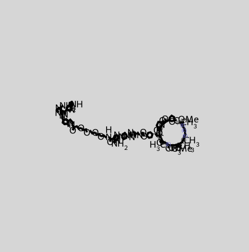 CO[C@H]1CC2CCCC(O2)C(=O)C(=O)N2CCCC[C@H]2C(=O)O[C@H](CC[C@H]2CC[C@H](OC(=O)NCc3cnc(N4CCN(c5ncc(C(=O)NCCOCCOCCOCCOCCC(=O)N6CCc7cc(Cn8nc(-c9cnc%10[nH]ccc%10c9)c9c(N)ncnc98)ccc7C6)c(N)n5)CC4)nc3)CC2)CC(=O)[C@H](C)/C=C(\C)[C@@H](O)[C@@H](OC)C(=O)[C@H](C)C[C@H](C)/C=C/C=C/C=C/1C